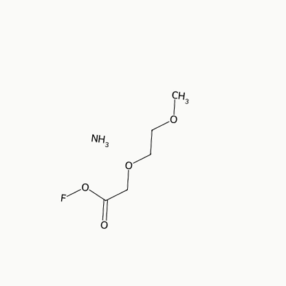 COCCOCC(=O)OF.N